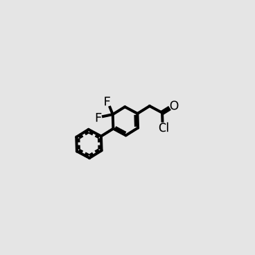 O=C(Cl)CC1=CC=C(c2ccccc2)C(F)(F)C1